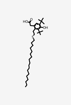 CCCCCCCCCCCCCCCCCCSCCc1c(CC(=O)O)cc(C(C)(C)C)c(O)c1C(C)(C)C